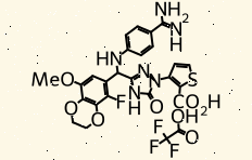 COc1cc(C(Nc2ccc(C(=N)N)cc2)c2nn(-c3ccsc3C(=O)O)c(=O)[nH]2)c(F)c2c1OCCO2.O=C(O)C(F)(F)F